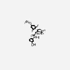 COc1cc(F)c([C@@H]2CNC(=O)C2CNC(=O)Nc2cccc(O)c2)c(F)c1